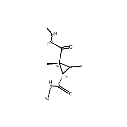 [2H]NC(=O)[C@H]1C(C)[C@@]1(C)C(=O)NBC